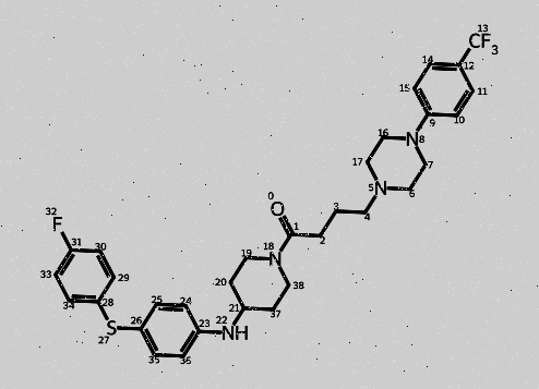 O=C(CCCN1CCN(c2ccc(C(F)(F)F)cc2)CC1)N1CCC(Nc2ccc(Sc3ccc(F)cc3)cc2)CC1